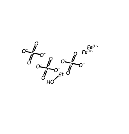 CCO.O=S(=O)([O-])[O-].O=S(=O)([O-])[O-].O=S(=O)([O-])[O-].[Fe+3].[Fe+3]